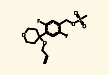 C=CCOC1(c2cc(F)c(COS(C)(=O)=O)cc2F)CCOCC1